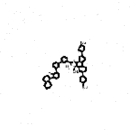 C=Nc1c(/N=C(\C)c2cccc(-c3cccc(-c4cccc5c4oc4ccc6ccccc6c45)c3)c2)c2cc(-c3ccc(C(C)(C)C)cc3)ccc2c2ccc(-c3ccc(C(C)(C)C)cc3)cc12